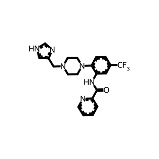 O=C(Nc1cc(C(F)(F)F)ccc1N1CCN(Cc2c[nH]cn2)CC1)c1ccccn1